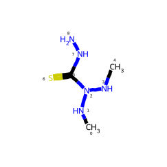 CNN(NC)C(=S)NN